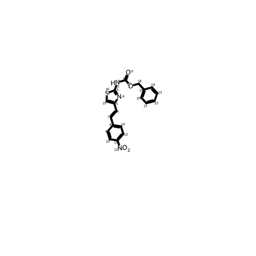 O=C(Nc1nc(C=Cc2ccc([N+](=O)[O-])cc2)cs1)OCc1ccccc1